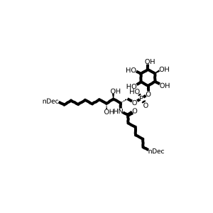 CCCCCCCCCCCCCCCC[C@@H](O)[C@@H](O)[C@H](COP(=O)(O)OC1C(O)C(O)C(O)[C@@H](O)C1O)NC(=O)CCCCCCCCCCCCCCC